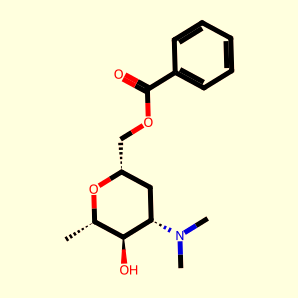 C[C@@H]1O[C@H](COC(=O)c2ccccc2)C[C@H](N(C)C)[C@H]1O